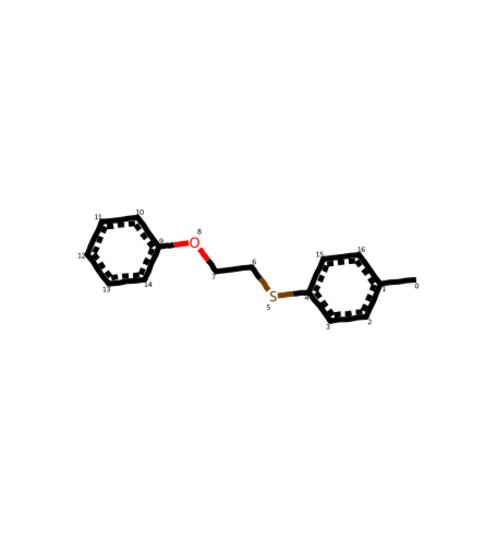 Cc1ccc(SCCOc2ccccc2)cc1